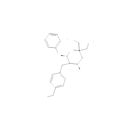 CCc1ccc(C[C@@]2(O)[C@@H](Oc3ccccc3)OC(CO)(CO)[C@H](O)[C@H]2O)cc1